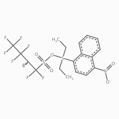 CCS(CC)(OS(=O)(=O)C(F)(F)C(F)(F)C(F)(F)C(F)(F)F)c1ccc([N+](=O)[O-])c2ccccc12